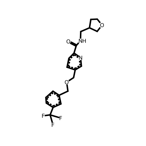 O=C(NCC1CCOC1)c1ccc(COCc2cccc(C(F)(F)F)c2)cn1